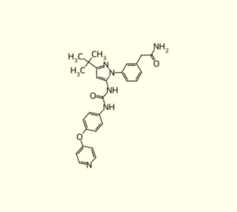 CC(C)(C)c1cc(NC(=O)Nc2ccc(Oc3ccncc3)cc2)n(-c2cccc(CC(N)=O)c2)n1